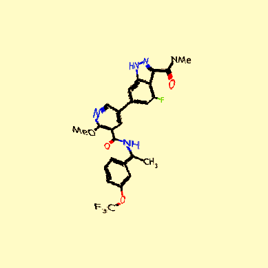 CNC(=O)c1n[nH]c2cc(-c3cnc(OC)c(C(=O)NC(C)c4cccc(OC(F)(F)F)c4)c3)cc(F)c12